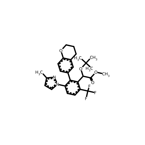 COC(=O)C(OC(C)(C)C)c1c(C(F)(F)F)ccc(-n2ccc(C)n2)c1-c1ccc2c(c1)CCCO2